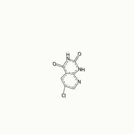 O=c1[nH]c(=O)c2cc(Cl)cnc2[nH]1